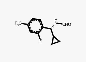 O=CN[C@@H](c1ccc(C(F)(F)F)cc1F)C1CC1